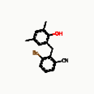 Cc1cc(C)c(O)c(Cc2c(Br)cccc2C#N)c1